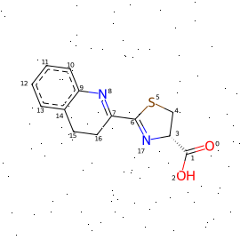 O=C(O)[C@H]1CSC(C2=Nc3ccccc3CC2)=N1